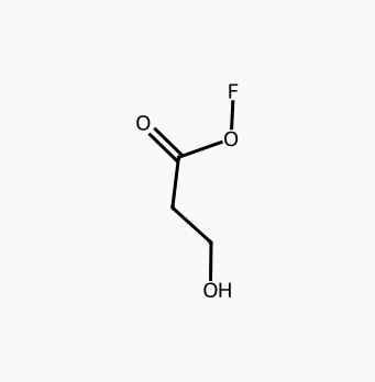 O=C(CCO)OF